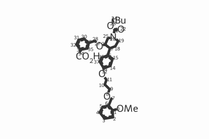 COc1ccccc1COCCCOc1ccc(C2CCN(C(=O)OC(C)(C)C)CC2OCc2cccc(C(=O)O)c2)cc1